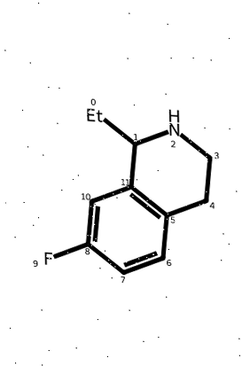 CCC1NCCc2ccc(F)cc21